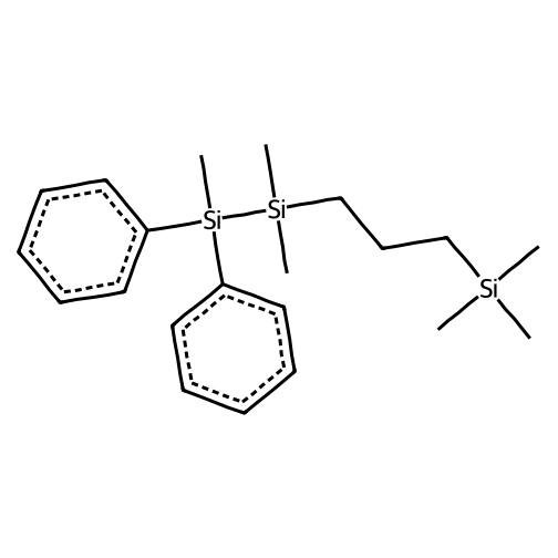 C[Si](C)(C)CCC[Si](C)(C)[Si](C)(c1ccccc1)c1ccccc1